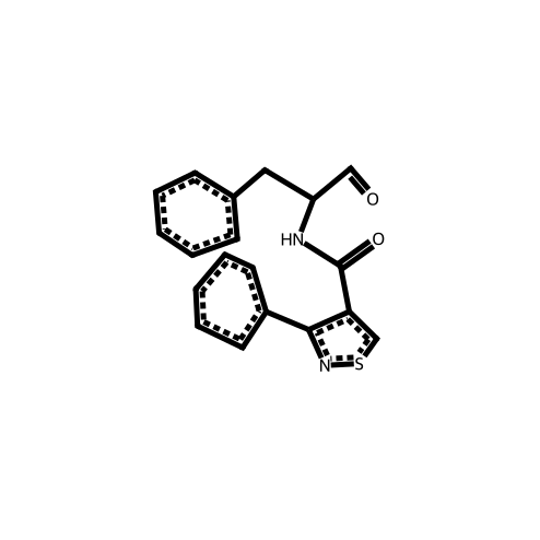 O=CC(Cc1ccccc1)NC(=O)c1csnc1-c1ccccc1